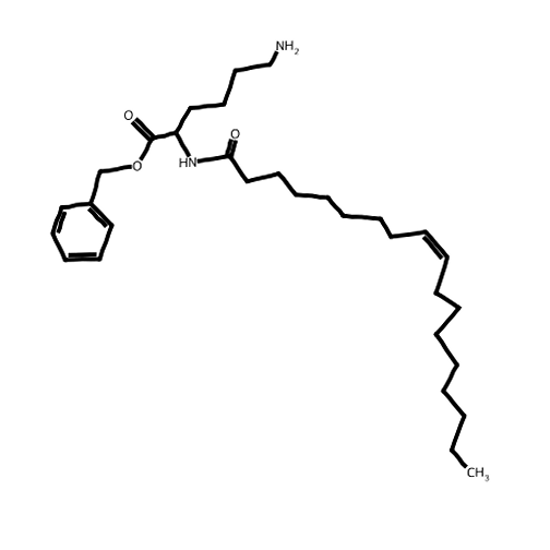 CCCCCCCC/C=C\CCCCCCCC(=O)NC(CCCCN)C(=O)OCc1ccccc1